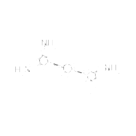 CCCc1cc(C#Cc2ccc(C#Cc3cc(CCN)cc(CCN)c3)cc2)cc(CCN)c1